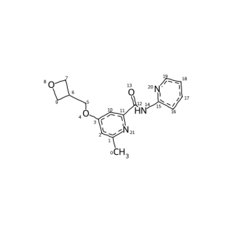 Cc1cc(OCC2COC2)cc(C(=O)Nc2ccccn2)n1